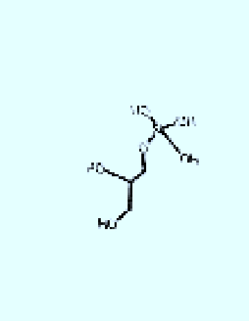 OCC(O)CO[Si](O)(O)O